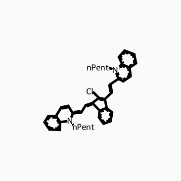 CCCCCN1/C(=C/C=C2C(Cl)=C(/C=C/c3ccc4ccccc4[n+]3CCCCC)c3ccccc3/2)C=Cc2ccccc21